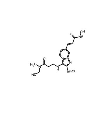 CCCCCCc1nc2cc(C=CC(=O)NO)ccn2c1NCCC(=O)N(C)CC#N